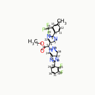 CCOC(=O)C(c1cnc(-c2ccc(C)cc2C(F)(F)F)nc1)n1cc2nc(-c3cccc(F)c3F)nc-2cn1